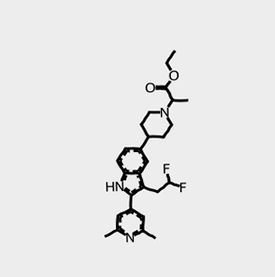 CCOC(=O)C(C)N1CCC(c2ccc3[nH]c(-c4cc(C)nc(C)c4)c(CC(F)F)c3c2)CC1